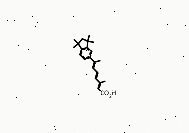 CC(/C=C/C=C(\C)c1ccc2c(c1)C(C)(C)CC2(C)C)=C\C(=O)O